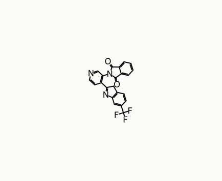 O=C1c2ccccc2C(=O)N1c1cnccc1C1=Nc2cc(C(F)(F)F)ccc2C1